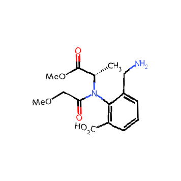 COCC(=O)N(c1c(CN)cccc1C(=O)O)[C@@H](C)C(=O)OC